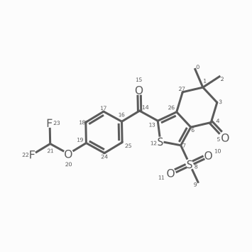 CC1(C)CC(=O)c2c(S(C)(=O)=O)sc(C(=O)c3ccc(OC(F)F)cc3)c2C1